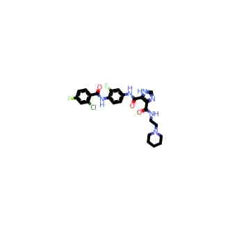 O=C(Nc1ccc(NC(=O)c2[nH]cnc2C(=O)NCCN2CCCCC2)cc1F)c1ccc(F)cc1Cl